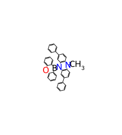 CN1c2ccc(-c3ccccc3)cc2N(B2c3ccccc3Oc3ccccc32)c2cc(-c3ccccc3)ccc21